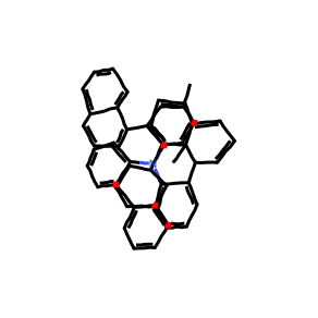 CC1C=CC(N(c2ccccc2-c2ccccc2)c2ccccc2C2C=CC=C3C=CC=C(C4CCCCC4)C32C)=C(c2cccc3ccccc23)C1